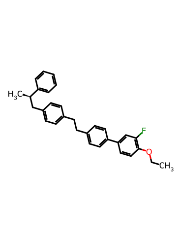 CCOc1ccc(-c2ccc(CCc3ccc(C[C@@H](C)c4ccccc4)cc3)cc2)cc1F